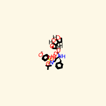 COc1ccc(S(=O)(=O)N(CC(C)C)C[C@@H](O)[C@H](Cc2ccccc2)NC(=O)O[C@@H]2CO[C@@H]3O[C@@H]4OCC[C@@H]4[C@@H]32)cc1